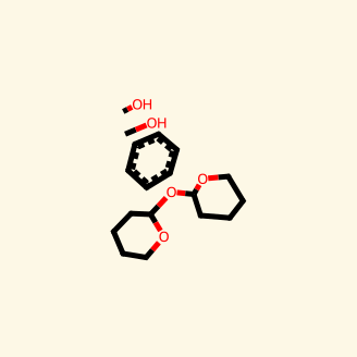 C1CCC(OC2CCCCO2)OC1.CO.CO.c1ccccc1